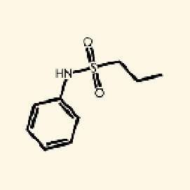 CCCS(=O)(=O)Nc1cc[c]cc1